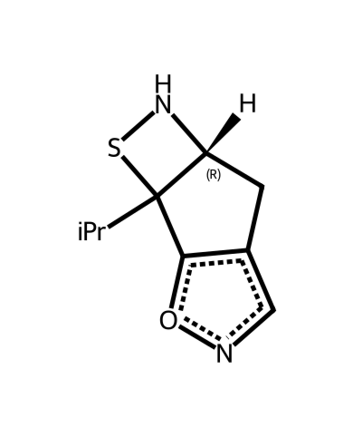 CC(C)C12SN[C@@H]1Cc1cnoc12